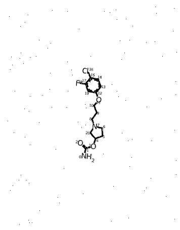 NC(=O)OC1CCN(CCCOc2ccc(Cl)c(F)c2)C1